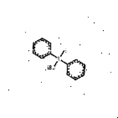 [C][Si](c1ccccc1)(c1ccccc1)C(C)(C)C